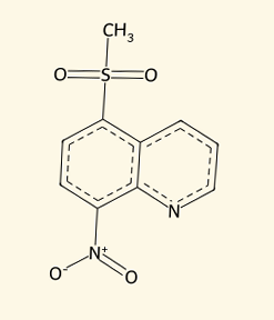 CS(=O)(=O)c1ccc([N+](=O)[O-])c2ncccc12